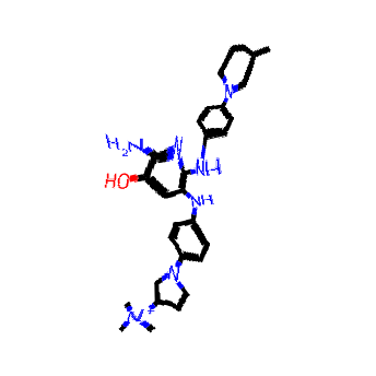 CC1CCN(c2ccc(Nc3nc(N)c(O)cc3Nc3ccc(N4CCC([N+](C)(C)C)C4)cc3)cc2)C1